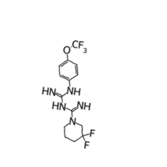 N=C(NC(=N)N1CCCC(F)(F)C1)Nc1ccc(OC(F)(F)F)cc1